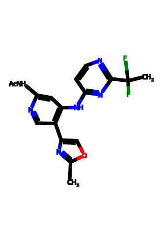 CC(=O)Nc1cc(Nc2ccnc(C(C)(F)F)n2)c(-c2coc(C)n2)cn1